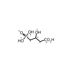 O=C(O)CC(O)CP(=O)(O)O